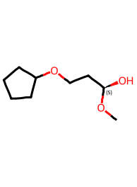 CO[C@H](O)CCOC1CCCC1